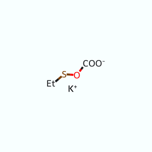 CCSOC(=O)[O-].[K+]